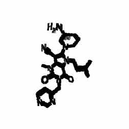 CC(C)=CCn1c(N2CCC[C@H](N)C2)c(C#N)c2c1c(=O)n(Cc1ccncn1)c(=O)n2C